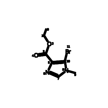 CCOC(=O)c1ncn(C)c1Br